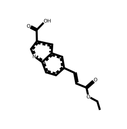 CCOC(=O)/C=C/c1ccc2ncc(C(=O)O)cc2c1